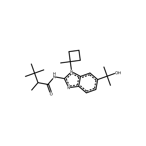 CC(C(=O)Nc1nc2ccc(C(C)(C)O)cc2n1C1(C)CCC1)C(C)(C)C